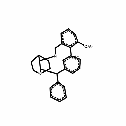 CCOc1c(CNC2C3CCN(CC3)C2C(c2ccccc2)c2ccccc2)cccc1OC